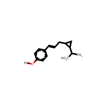 CCOc1ccc(C=CCC2CC2C(C)C(=O)O)cc1